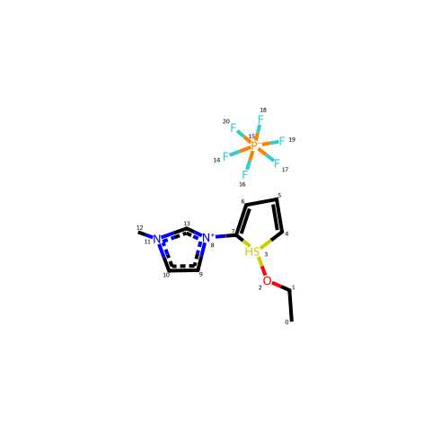 CCO[SH]1C=CC=C1[n+]1ccn(C)c1.F[P-](F)(F)(F)(F)F